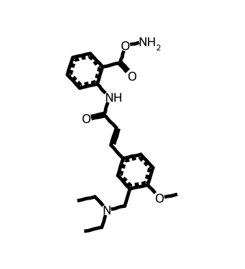 CCN(CC)Cc1cc(/C=C/C(=O)Nc2ccccc2C(=O)ON)ccc1OC